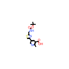 Cc1ncc(-c2csc(CNC(=O)OC(C)(C)C)n2)cc1C(=O)O